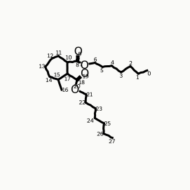 CCCCCCCOC(=O)C1CCCCC(C)C1C(=O)OCCCCCCC